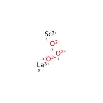 [La+3].[O-2].[O-2].[O-2].[Sc+3]